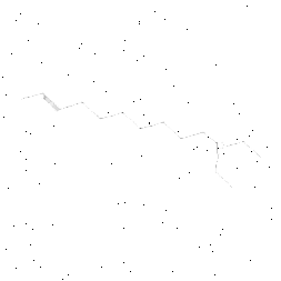 C/C=C/CCCCCCCB(CC)CC